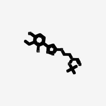 CCc1c(Cl)ccc(-c2cc(OCCN(C=O)OC(C)(C)C)no2)c1Cl